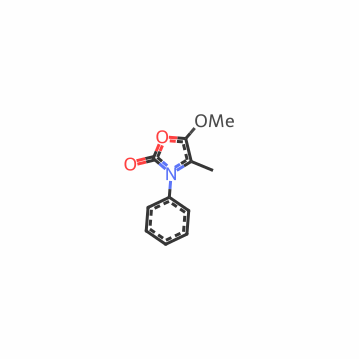 COc1oc(=O)n(-c2ccccc2)c1C